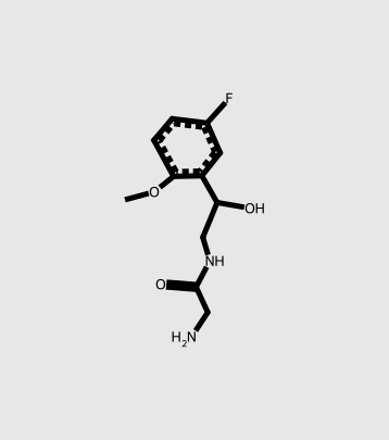 COc1ccc(F)cc1C(O)CNC(=O)CN